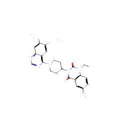 CCOC(=O)Cn1c(=O)n(C2CCN(c3ncnc4cc(OC)c(OC)cc34)CC2)c(=O)c2cc([N+](=O)[O-])ccc21